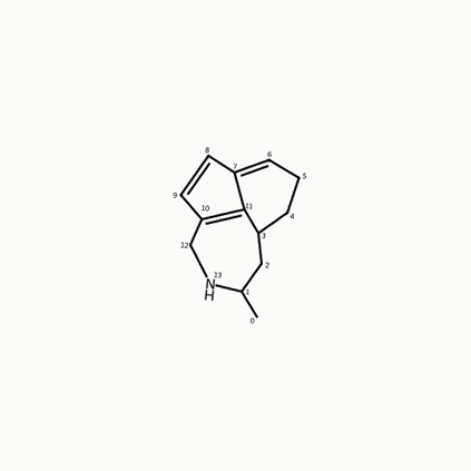 CC1CC2CCC=C3C=CC(=C32)CN1